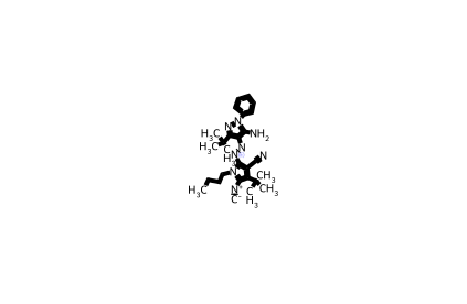 [C-]#[N+]c1c(C(C)(C)C)c(C#N)c(/N=N/c2c(C(C)(C)C)nn(-c3ccccc3)c2N)n1CCCC